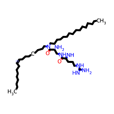 CCCCCCCC/C=C\CCCCCCCCN(CCCCCCCCCCCCCCCC)C(=O)C(N)CNC(=O)C(=N)CCCNC(=N)N